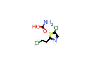 ClCCc1ncc(Cl)s1.NC(=O)O